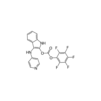 O=C(Oc1[nH]c2ccccc2c1Nc1ccncc1)Oc1c(F)c(F)c(F)c(F)c1F